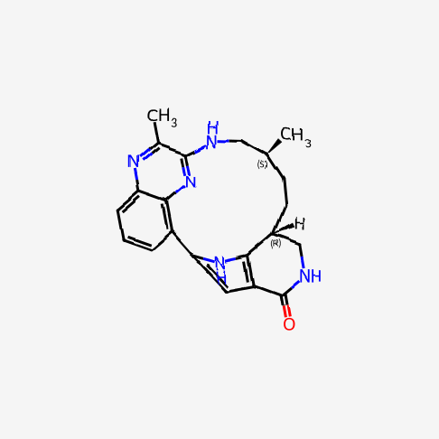 Cc1nc2cccc3c2nc1NC[C@@H](C)CC[C@@H]1CNC(=O)c2cc-3[nH]c21